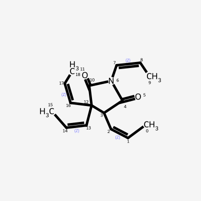 C/C=C\C1C(=O)N(/C=C\C)C(=O)C1(/C=C\C)/C=C\C